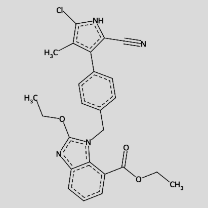 CCOC(=O)c1cccc2nc(OCC)n(Cc3ccc(-c4c(C#N)[nH]c(Cl)c4C)cc3)c12